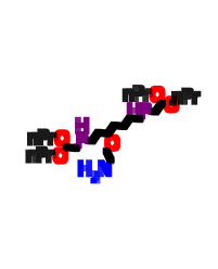 CCCOC(CPCCCCC(CCPCC(OCCC)OCCC)OCCN)OCCC